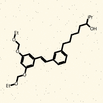 CCOCOc1cc(/C=C/c2cccc(CCCCCC(O)C(C)C)c2)cc(OCOCC)c1